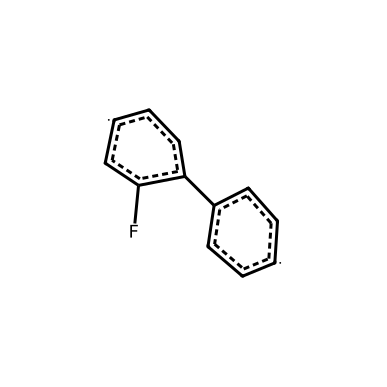 Fc1c[c]ccc1-c1cc[c]cc1